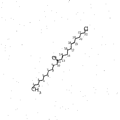 CCCCCCCCCCCC(=O)CCCCCCCCCCCCl